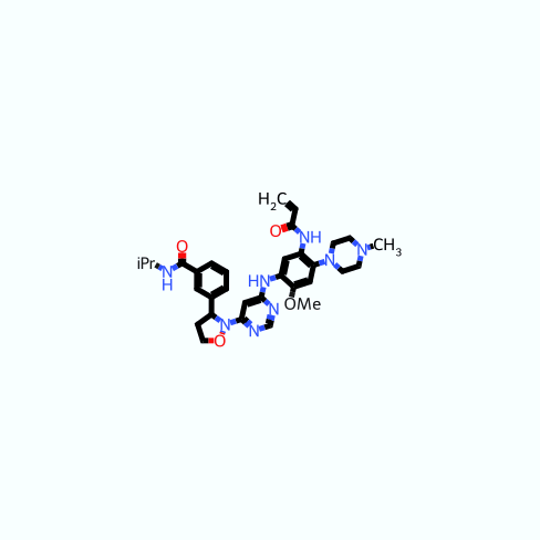 C=CC(=O)Nc1cc(Nc2cc(N3OCCC3c3cccc(C(=O)NC(C)C)c3)ncn2)c(OC)cc1N1CCN(C)CC1